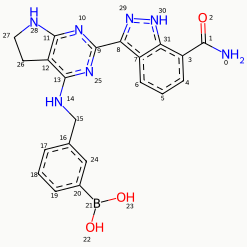 NC(=O)c1cccc2c(-c3nc4c(c(NCc5cccc(B(O)O)c5)n3)CCN4)n[nH]c12